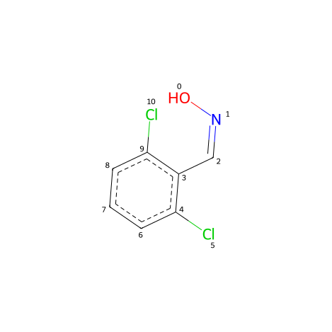 O/N=C\c1c(Cl)cccc1Cl